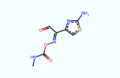 CNC(=O)ON=C([C]=O)c1csc(N)n1